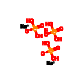 O=P(O)(O)O.O=P([O-])(O)O.O=P([O-])(O)O.[Na+].[Na+]